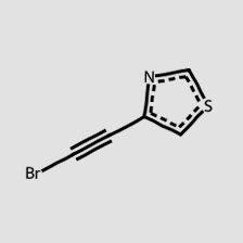 BrC#Cc1cscn1